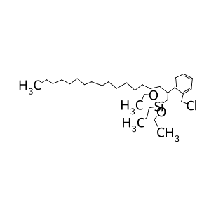 CCCCCCCCCCCCCCCCC(C[Si](CCC)(OCC)OCC)c1ccccc1CCl